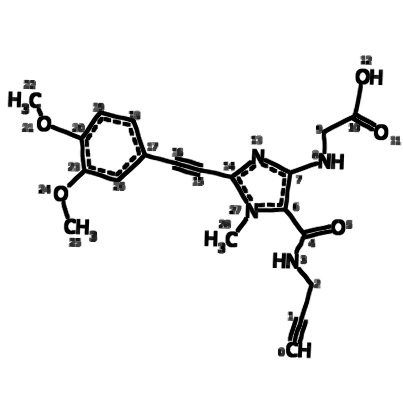 C#CCNC(=O)c1c(NCC(=O)O)nc(C#Cc2ccc(OC)c(OC)c2)n1C